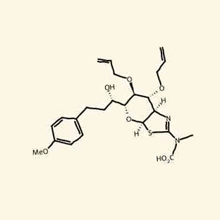 C=CCO[C@H]1[C@H](OCC=C)[C@H]2N=C(N(C)C(=O)O)S[C@H]2O[C@@H]1[C@@H](O)CCc1ccc(OC)cc1